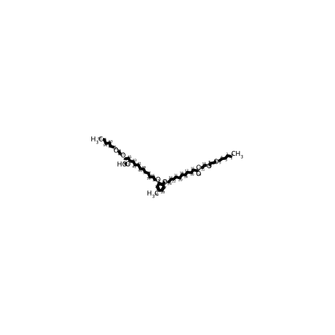 CCCCCCOCCOCCOC(=O)CCCCCCCCCCOc1ccc(C)cc1OCCCCCCCCCCC(CCOCCOCCCCCC)OO